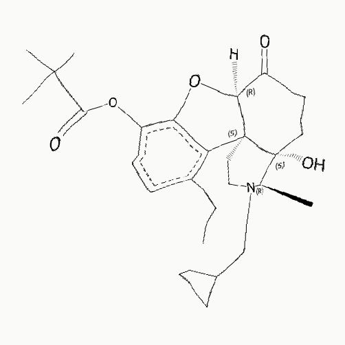 CCc1ccc(OC(=O)C(C)(C)C)c2c1[C@]13CCN(CC4CC4)[C@H](C)[C@]1(O)CCC(=O)[C@@H]3O2